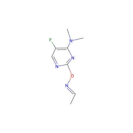 CC=NOc1ncc(F)c(N(C)C)n1